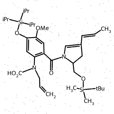 C=CCN(C(=O)O)c1cc(O[Si](C(C)C)(C(C)C)C(C)C)c(OC)cc1C(=O)N1C=C(C=CC)CC1CO[Si](C)(C)C(C)(C)C